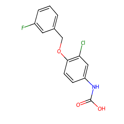 O=C(O)Nc1ccc(OCc2cccc(F)c2)c(Cl)c1